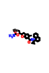 Cc1cc2c(cc1C(=O)NC1(c3cccc4ccccc34)CC1)OC(C(CC(C)(C)C)OC(N)=O)C2